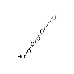 OCCOCCOCCOCCOCCCCCCCl